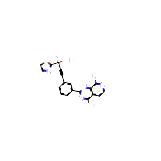 C[C@@](O)(C#Cc1cccc(-c2nc(C(F)(F)F)c3ccnc(N)c3n2)c1)c1nccs1